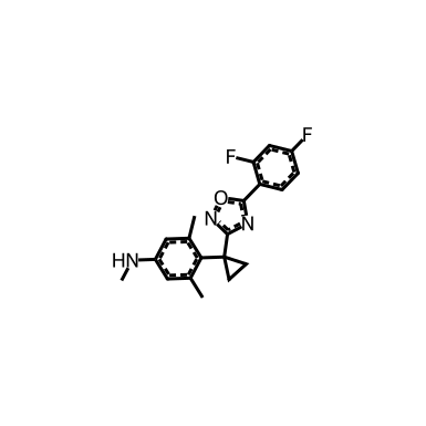 CNc1cc(C)c(C2(c3noc(-c4ccc(F)cc4F)n3)CC2)c(C)c1